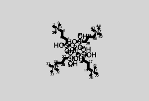 C[N+](C)(C)CCC[Si](O)(O)O[Si](O[Si](O)(O)CCC[N+](C)(C)C)(O[Si](O)(O)CCC[N+](C)(C)C)O[Si](O)(O)CCC[N+](C)(C)C